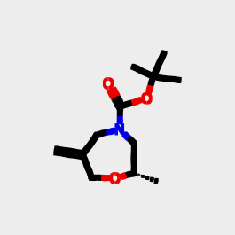 C=C1CO[C@@H](C)CN(C(=O)OC(C)(C)C)C1